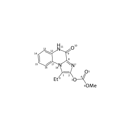 CCc1c(OC(=O)OC)nc2c(=O)[nH]c3ccccc3n12